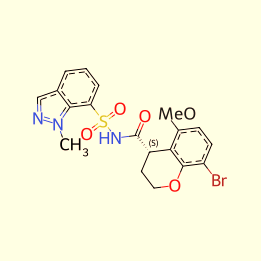 COc1ccc(Br)c2c1[C@@H](C(=O)NS(=O)(=O)c1cccc3cnn(C)c13)CCO2